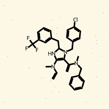 C=CN(C)C1=C(C(=C)N(C)Cc2ccccc2)N(Cc2ccc(Cl)cc2)C(Cc2cccc(C(F)(F)F)c2)N1